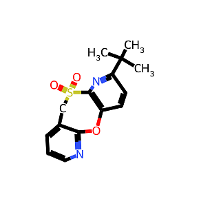 CC(C)(C)c1ccc2c(n1)S(=O)(=O)Cc1cccnc1O2